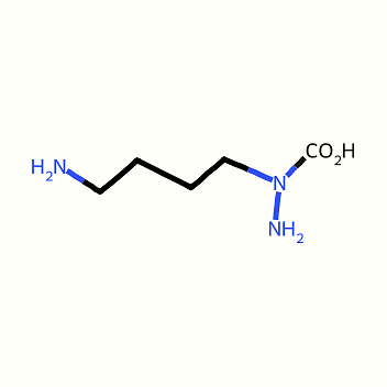 NCCCCN(N)C(=O)O